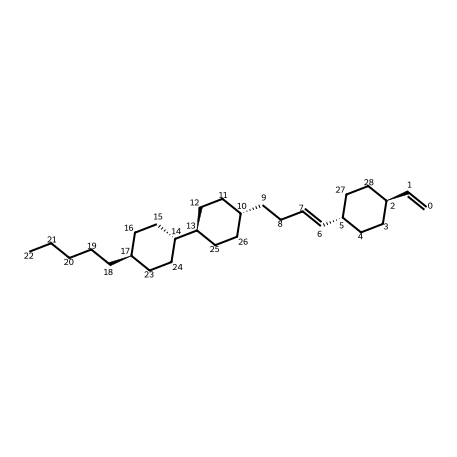 C=C[C@H]1CC[C@H](C=CCC[C@H]2CC[C@H]([C@H]3CC[C@H](CCCCC)CC3)CC2)CC1